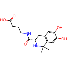 CC1(C)N[C@H](C(=O)NCCCC(=O)O)Cc2cc(O)c(O)cc21